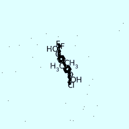 CC(C)(c1ccc(OC[C@@H](O)CCl)cc1)c1ccc(OC[C@H](O)C(F)F)cc1